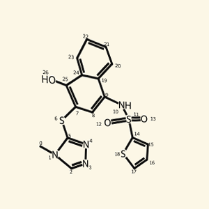 Cn1cnnc1Sc1cc(NS(=O)(=O)c2cccs2)c2ccccc2c1O